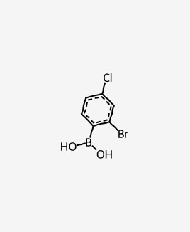 OB(O)c1ccc(Cl)cc1Br